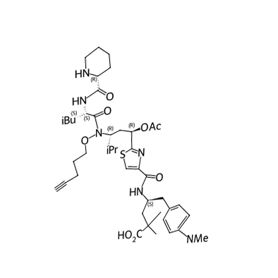 C#CCCCON(C(=O)[C@@H](NC(=O)[C@H]1CCCCN1)[C@@H](C)CC)[C@H](C[C@@H](OC(C)=O)c1nc(C(=O)N[C@@H](Cc2ccc(NC)cc2)CC(C)(C)C(=O)O)cs1)C(C)C